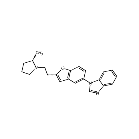 C[C@@H]1CCCN1CCc1cc2cc(-n3cnc4ccccc43)ccc2o1